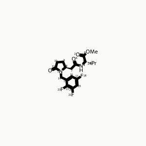 COC(=O)[C@@H](NC(=O)C[C@@H]1CCC(=O)N1Cc1cc(F)cc(F)c1F)C(C)C